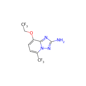 Nc1nc2c(OCC(F)(F)F)ccc(C(F)(F)F)n2n1